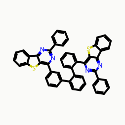 c1ccc(-c2nc(-c3cccc(-c4ccccc4-c4ccccc4-c4nc(-c5ccccc5)nc5c4sc4ccccc45)c3)c3sc4ccccc4c3n2)cc1